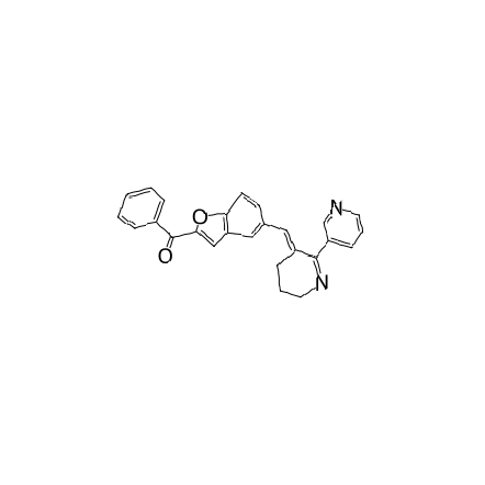 O=C(c1ccccc1)c1cc2cc(C=C3CCCN=C3c3cccnc3)ccc2o1